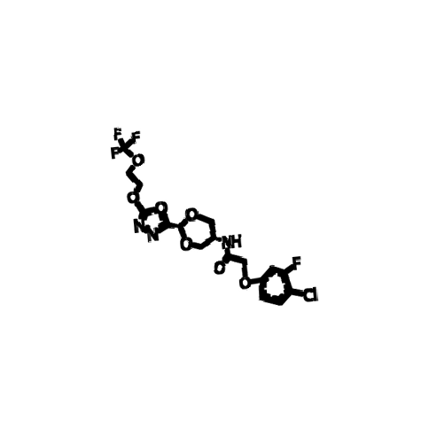 O=C(COc1ccc(Cl)c(F)c1)N[C@H]1CO[C@H](c2nnc(OCCOC(F)(F)F)o2)OC1